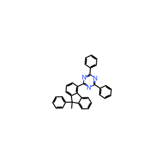 CC1(c2ccccc2)c2ccccc2-c2c(-c3nc(-c4ccccc4)nc(-c4ccccc4)n3)cccc21